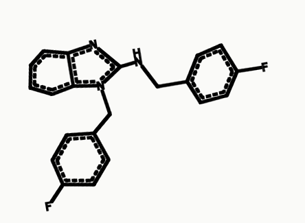 Fc1ccc(CNc2nc3ccccc3n2Cc2ccc(F)cc2)cc1